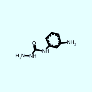 NNC(=O)Nc1cccc(N)c1